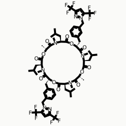 CC(C)C[C@H]1C(=O)O[C@H](Cc2cccc(Cn3nc(C(F)(F)F)cc3C(F)(F)F)c2)C(=O)N(C)[C@@H](CC(C)C)C(=O)O[C@H](C)C(=O)N(C)[C@@H](CC(C)C)C(=O)O[C@H](Cc2cccc(Cn3nc(C(F)(F)F)cc3C(F)(F)F)c2)C(=O)N(C)[C@@H](CC(C)C)C(=O)O[C@H](C)C(=O)N1C